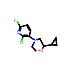 CCN(CC(O)C1CC1)c1ccc(Cl)nc1Cl